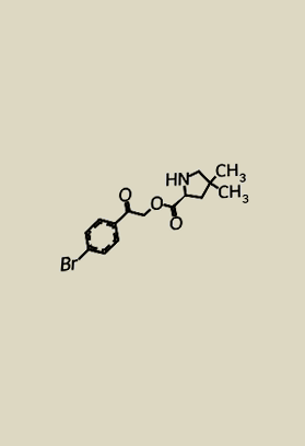 CC1(C)CN[C@H](C(=O)OCC(=O)c2ccc(Br)cc2)C1